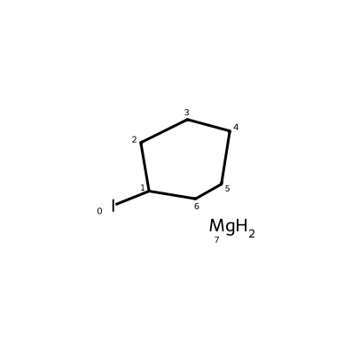 IC1CCCCC1.[MgH2]